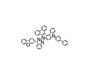 c1ccc(-c2ccc(-n3c4ccccc4c4c5c6c7ccccc7c7ccccc7c6n(-c6nc(-c7ccc8c(c7)oc7ccccc78)c7ccccc7n6)c5ccc43)cc2)cc1